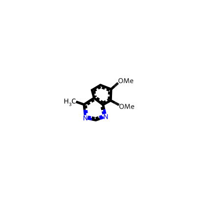 COc1ccc2c(C)ncnc2c1OC